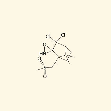 CC1(C)C2CCC1(CS(C)(=O)=O)C1(NO1)C2(Cl)Cl